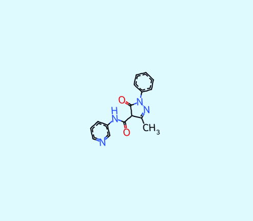 CC1=NN(c2ccccc2)C(=O)C1C(=O)Nc1cccnc1